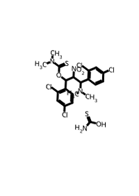 CN(C)C(=S)OC(c1ccc(Cl)cc1Cl)C(C(c1ccc(Cl)cc1Cl)N(C)C)[N+](=O)[O-].NC(O)=S